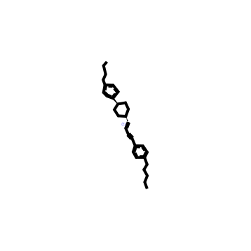 CCCCCc1ccc(C#C/C=C/[C@H]2CC[C@H](c3ccc(CCCC)cc3)CC2)cc1